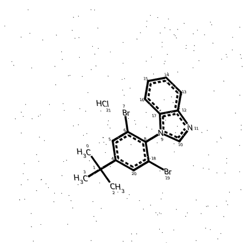 CC(C)(C)c1cc(Br)c(-n2cnc3ccccc32)c(Br)c1.Cl